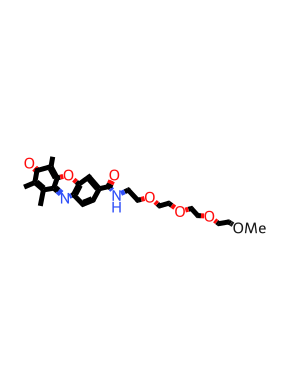 COCCOCCOCCOCCNC(=O)c1ccc2nc3c(C)c(C)c(=O)c(C)c-3oc2c1